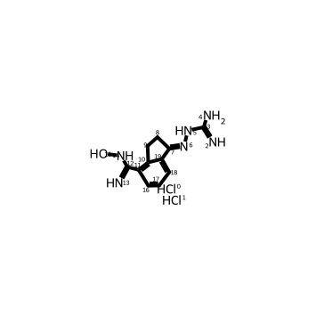 Cl.Cl.N=C(N)NN=C1CCc2c(C(=N)NO)cccc21